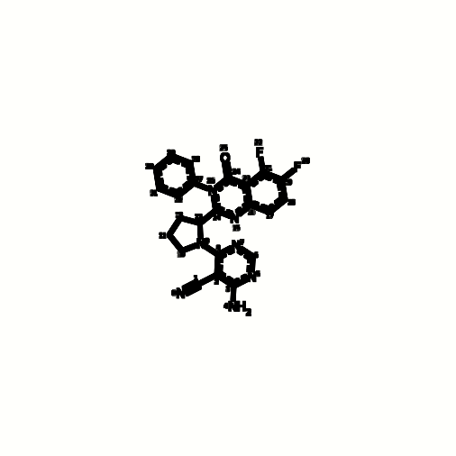 N#Cc1c(N)ncnc1N1CCCC1c1nc2ccc(F)c(F)c2c(=O)n1-c1ccccc1